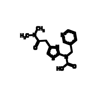 CN(C)C(=O)Cc1csc(N(Cc2cccnc2)C(=O)O)n1